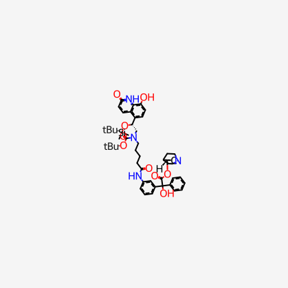 CC(C)(C)OC(=O)N(CCCCC(=O)Nc1cccc(C(O)(C(=O)O[C@H]2CN3CCC2CC3)c2ccccc2)c1)C[C@H](O[Si](C)(C)C(C)(C)C)c1ccc(O)c2[nH]c(=O)ccc12